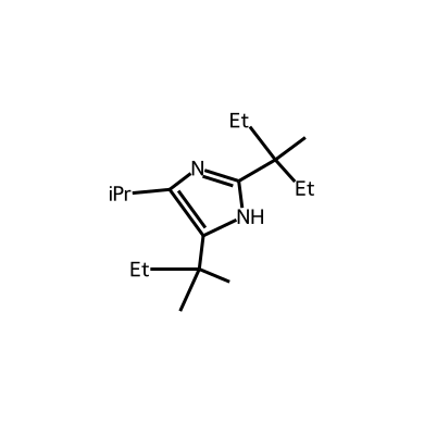 CCC(C)(C)c1[nH]c(C(C)(CC)CC)nc1C(C)C